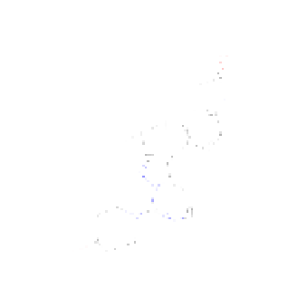 CC(C)(C)c1nn2c(N3CCC(O)CC3)nccc2c1-c1ccc2c(c1)CC(=O)N2